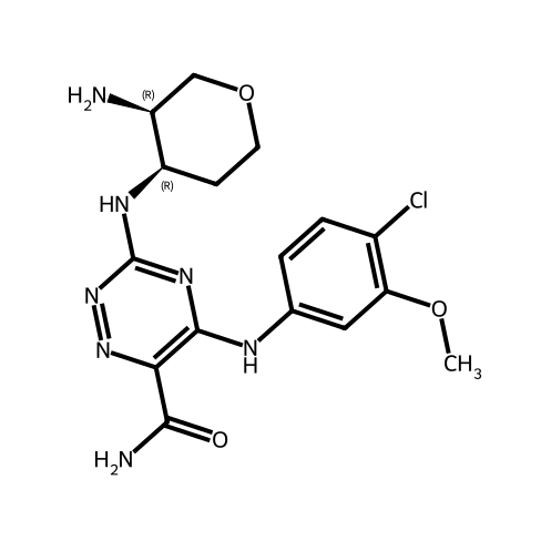 COc1cc(Nc2nc(N[C@@H]3CCOC[C@@H]3N)nnc2C(N)=O)ccc1Cl